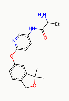 CCC(N)C(=O)Nc1ccc(Oc2ccc3c(c2)C(C)(C)OC3)nc1